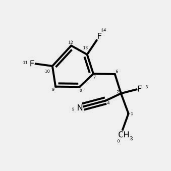 CCC(F)(C#N)Cc1ccc(F)cc1F